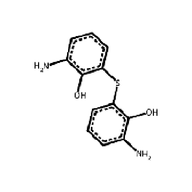 Nc1cccc(Sc2cccc(N)c2O)c1O